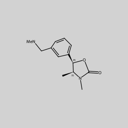 CNCc1cccc([C@H]2OC(=O)N(C)[C@H]2C)c1